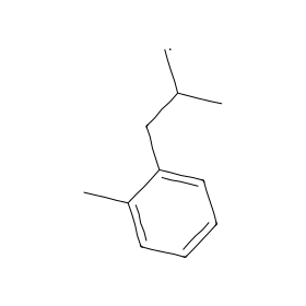 [CH2]C(C)Cc1ccccc1C